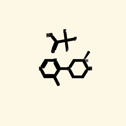 Cc1cncnc1N1CCN[C@@H](C)C1.O=C(O)C(F)(F)F